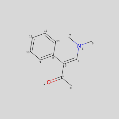 CC(=O)/C(=C/N(C)C)c1ccccc1